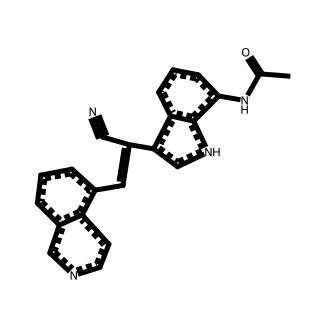 CC(=O)Nc1cccc2c(/C(C#N)=C/c3cccc4cnccc34)c[nH]c12